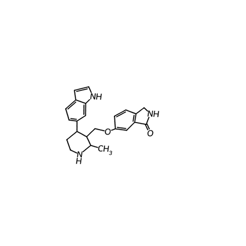 CC1NCCC(c2ccc3cc[nH]c3c2)C1COc1ccc2c(c1)C(=O)NC2